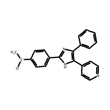 C[S+]([O-])c1ccc(-c2nc(-c3ccccc3)c(-c3ccncc3)[nH]2)cc1